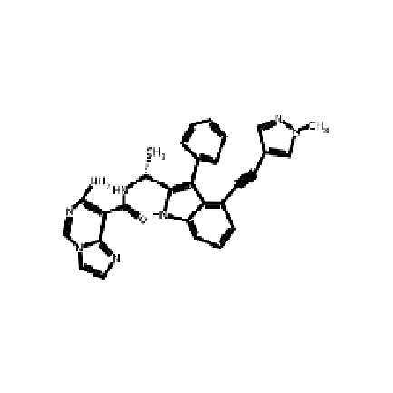 C[C@@H](NC(=O)c1c(N)ncn2ccnc12)c1[nH]c2cccc(C#Cc3cnn(C)c3)c2c1-c1ccccc1